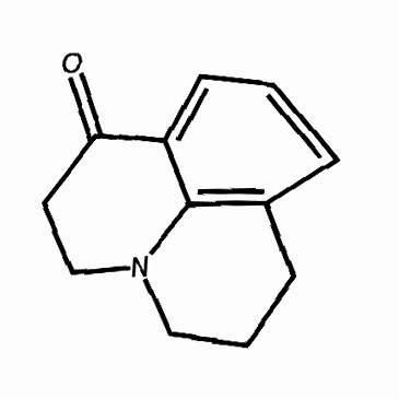 O=C1CCN2CCCc3cccc1c32